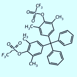 Cc1cc(C(c2ccccc2)(c2ccccc2)c2cc(C)c(OS(=O)(=O)C(F)(F)F)c(C)c2)cc(C)c1OS(=O)(=O)C(F)(F)F